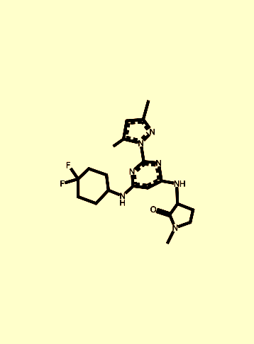 Cc1cc(C)n(-c2nc(NC3CCC(F)(F)CC3)cc(NC3CCN(C)C3=O)n2)n1